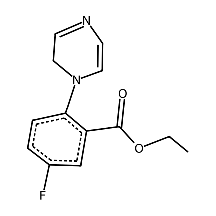 CCOC(=O)c1cc(F)ccc1N1C=CN=CC1